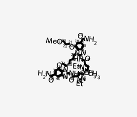 CCn1nc(C)cc1C(=O)Nc1nc2cc(C(N)=O)cc(OCCCOC)c2n1CCCC[C@H]1COc2cc(C(N)=O)cc3nc(NC(=O)c4cc(C)nn4CC)n1c23